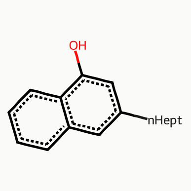 CCCCCCCc1cc(O)c2ccccc2c1